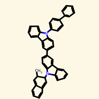 CC1C=c2ccccc2=CC1n1c2ccccc2c2cc(-c3ccc4c(c3)c3ccccc3n4-c3ccc(-c4ccccc4)cc3)ccc21